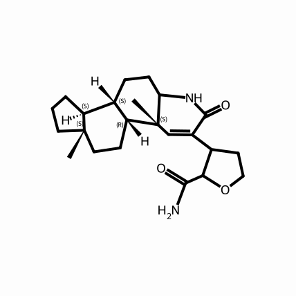 C[C@@]12CCC[C@H]1[C@@H]1CCC3NC(=O)C(C4CCOC4C(N)=O)=C[C@]3(C)[C@@H]1CC2